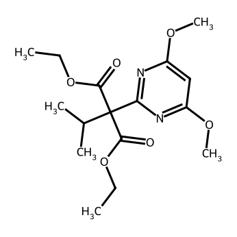 CCOC(=O)C(C(=O)OCC)(c1nc(OC)cc(OC)n1)C(C)C